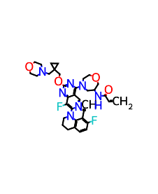 C#Cc1c(F)ccc2c1N(c1ncc3c(N4CCOCC(NC(=O)C=C)C4)nc(OCC4(CN5CCOCC5)CC4)nc3c1F)CCC2